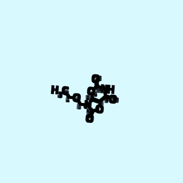 CCOCn1c(=O)oc2c(=O)[nH]c(=O)oc21